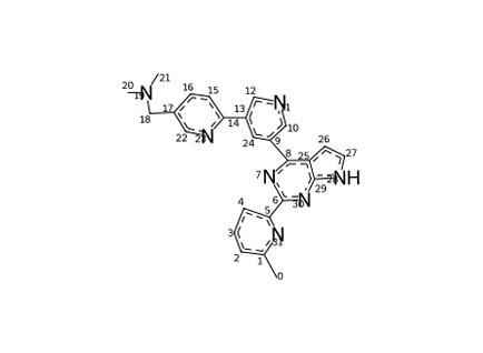 Cc1cccc(-c2nc(-c3cncc(-c4ccc(CN(C)C)cn4)c3)c3cc[nH]c3n2)n1